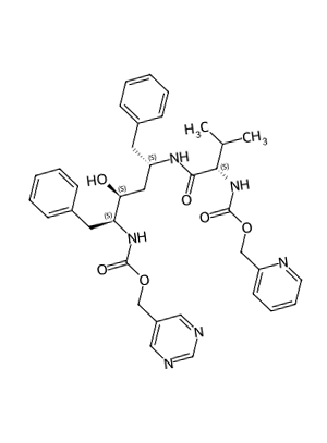 CC(C)[C@H](NC(=O)OCc1ccccn1)C(=O)N[C@@H](Cc1ccccc1)C[C@H](O)[C@H](Cc1ccccc1)NC(=O)OCc1cncnc1